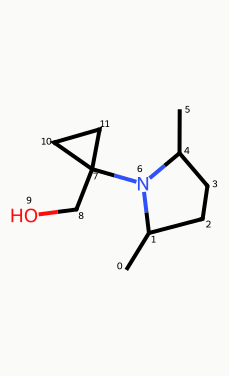 CC1CCC(C)N1C1(CO)CC1